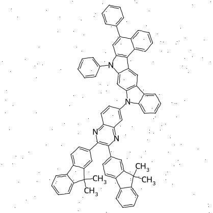 CC1(C)c2ccccc2-c2ccc(-c3nc4ccc(-n5c6ccccc6c6cc7c8c9ccccc9c(-c9ccccc9)cc8n(-c8ccccc8)c7cc65)cc4nc3-c3ccc4c(c3)C(C)(C)c3ccccc3-4)cc21